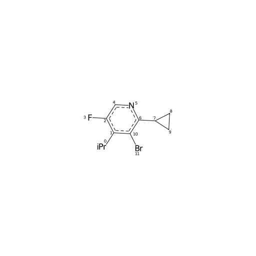 CC(C)c1c(F)cnc(C2CC2)c1Br